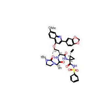 C=C[C@@H]1C[C@]1(NC(=O)[C@H](C[C@H](C)Oc1cc(-c2ccc3c(c2)OCO3)nc2cc(OC)ccc12)NC(=O)[C@H](C(C)C)N1CCN(C(C)(C)C)C1=O)C(=O)NS(=O)(=O)c1ccccc1